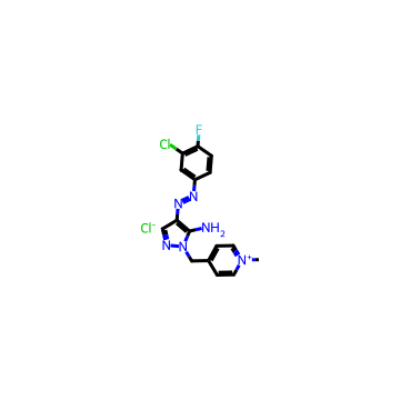 C[n+]1ccc(Cn2ncc(N=Nc3ccc(F)c(Cl)c3)c2N)cc1.[Cl-]